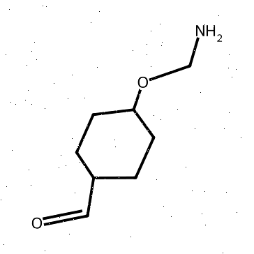 NCOC1CCC(C=O)CC1